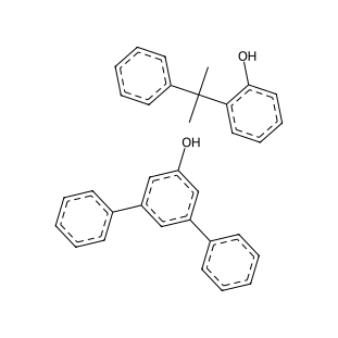 CC(C)(c1ccccc1)c1ccccc1O.Oc1cc(-c2ccccc2)cc(-c2ccccc2)c1